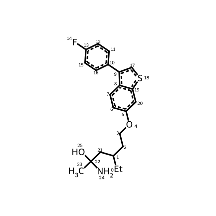 CCC(CCOc1ccc2c(-c3ccc(F)cc3)csc2c1)CC(C)(N)O